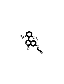 Cc1cccc(C)c1-c1cnc(Cl)c2cc(OCC#N)ccc12